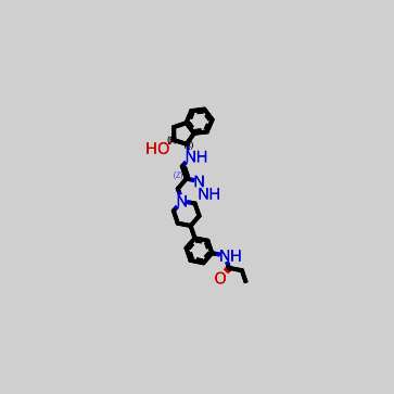 CCC(=O)Nc1cccc(C2CCN(C/C(=C/N[C@@H]3c4ccccc4C[C@H]3O)N=N)CC2)c1